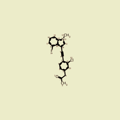 CC(=O)Cc1ccc(C#Cc2cn(C)c3cccc(F)c23)c(Cl)c1